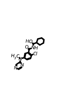 CN(c1ccc(Cl)c(C(=O)NC(O)C2CCCCC2)c1)c1cnccn1